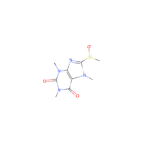 Cn1c(=O)c2c(nc([S+](C)[O-])n2C)n(C)c1=O